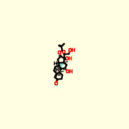 C=C(C)CO[C@@H]1C[C@H]2[C@@H]3CCC4=CC(=O)CC[C@]4(C)[C@@]3(F)[C@@H](O)C[C@]2(C)[C@@]1(O)C(=O)CO